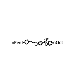 CCCCCCCCc1ccc(OC(=O)c2ccc(OCCCC3CCC(CCCCC)CC3)cc2)c(F)c1